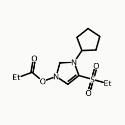 CCC(=O)ON1C=C(S(=O)(=O)CC)N(C2CCCC2)C1